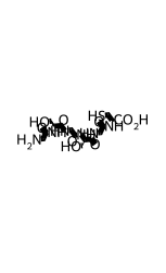 NCC(=O)N[C@@H](CO)C(=O)NCC(=O)N[C@@H](CO)C(=O)NCC(=O)N[C@@H](CS)C(=O)O